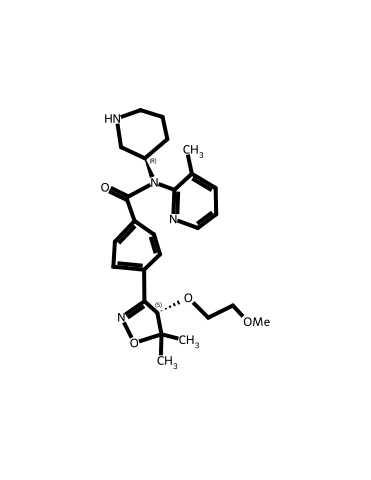 COCCO[C@H]1C(c2ccc(C(=O)N(c3ncccc3C)[C@@H]3CCCNC3)cc2)=NOC1(C)C